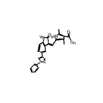 Cc1[nH]c(C=C2C(=O)Nc3ccc(-c4cnn(-c5ccccc5)c4)cc32)c(C)c1C(=O)O